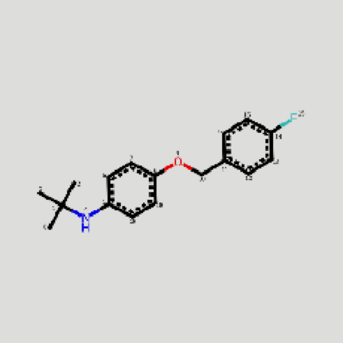 CC(C)(C)Nc1ccc(OCc2ccc(F)cc2)cc1